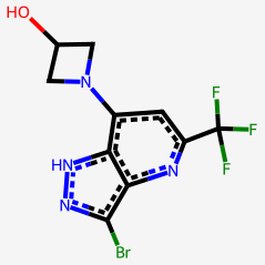 OC1CN(c2cc(C(F)(F)F)nc3c(Br)n[nH]c23)C1